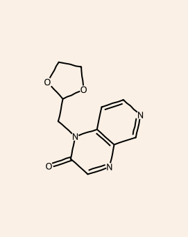 O=c1cnc2cnccc2n1CC1OCCO1